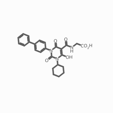 O=C(O)CNC(=O)c1c(O)n(C2CCCCC2)c(=O)n(-c2ccc(-c3ccccc3)cc2)c1=O